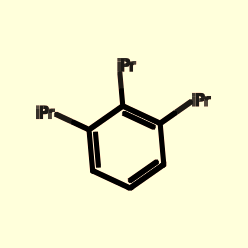 CC(C)c1cccc(C(C)C)c1C(C)C